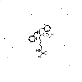 CCC(=O)NCCCCC(C(=O)O)N(Cc1ccccn1)Cc1ccccn1